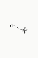 FC(F)(F)SCCCCCCCCl